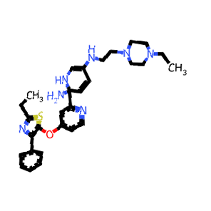 CCc1nc(-c2ccccc2)c(Oc2ccnc(C3(N)C=CC(NCCN4CCN(CC)CC4)=CN3)c2)s1